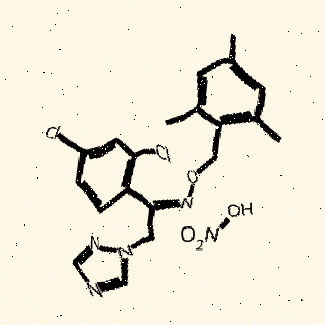 Cc1cc(C)c(CON=C(Cn2cncn2)c2ccc(Cl)cc2Cl)c(C)c1.O=[N+]([O-])O